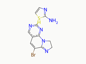 NC1=NC=C[SH]1c1ncc2c(n1)N1CCN=C1C(Br)=C2